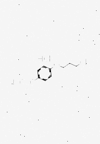 Cl.O=C(O)c1ccc(OCCCCl)cc1